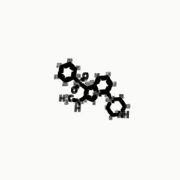 CNc1cn2c(N3CCNCC3)cccc2c1S(=O)(=O)c1ccccc1